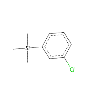 C[Si](C)(C)c1cccc(Cl)c1